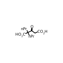 CCCC(CCC)(C(=O)O)C(=O)CC(=O)O